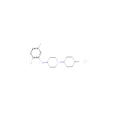 COC1CCC(N2CCC(Nc3cc(C)ccc3[N+](=O)[O-])CC2)CC1